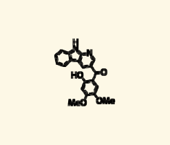 COc1cc(O)c(C(=O)c2cnc3[nH]c4ccccc4c3c2)cc1OC